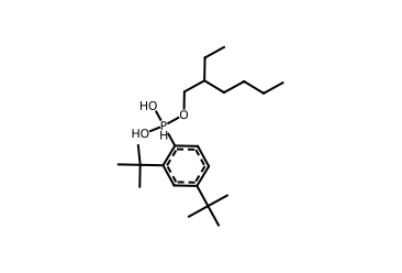 CCCCC(CC)CO[PH](O)(O)c1ccc(C(C)(C)C)cc1C(C)(C)C